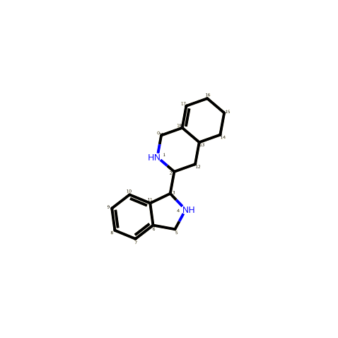 [C]1NC(C2NCc3ccccc32)CC2CCCC=C12